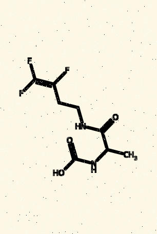 CC(NC(=O)O)C(=O)NCCC(F)=C(F)F